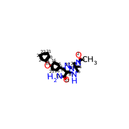 CC(=O)N1CC2(CNc3c(C(N)=O)c(-c4ccc(Oc5ccccc5)cc4)nn32)C1